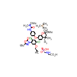 C#CCOc1cc(-n2nc(C(C)(C)C)oc2=O)c(Cl)cc1Cl.CON(C)C(=O)Nc1ccc(Oc2ccc3c(c2)OC(C)(OC)CC3(C)C)cc1.C[S+](C)C.O=C(O)CNCP(=O)([O-])O